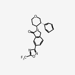 O=C1c2cc(-c3noc(C(F)(F)F)n3)ccc2CN1[C@H]1CCOC[C@@H]1c1ccccc1